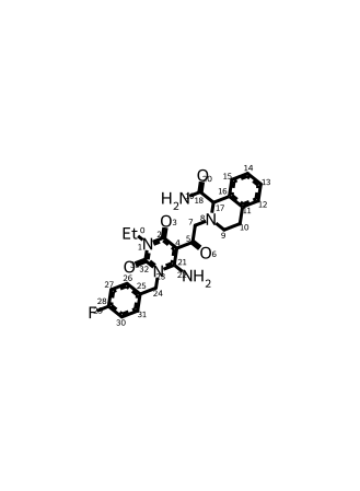 CCn1c(=O)c(C(=O)CN2CCc3ccccc3C2C(N)=O)c(N)n(Cc2ccc(F)cc2)c1=O